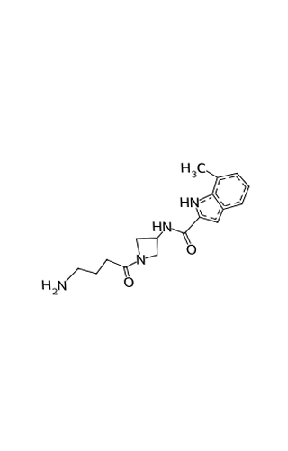 Cc1cccc2cc(C(=O)NC3CN(C(=O)CCCN)C3)[nH]c12